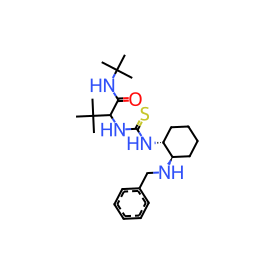 CC(C)(C)NC(=O)C(NC(=S)N[C@@H]1CCCC[C@H]1NCc1ccccc1)C(C)(C)C